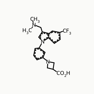 CN(C)Cc1cn(-c2cccc(N3CC(C(=O)O)C3)c2)c2ccc(C(F)(F)F)cc12